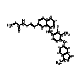 C=CC(=O)NCC=Cc1ccc2ncnc(Nc3ccc(Oc4ccc5c(c4)ncn5C)c(C)c3F)c2n1